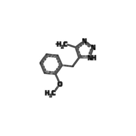 [CH2]c1nn[nH]c1Cc1ccccc1OC